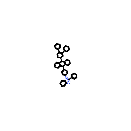 c1ccc(-c2ccc(-c3c4ccccc4c(-c4ccc(-n5c(-c6ccccc6)nc6ccccc65)cc4)c4ccccc34)cc2-c2ccccc2)cc1